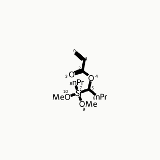 C=CC(=O)OC(CCC)[Si](CCC)(OC)OC